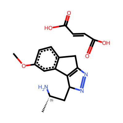 COc1ccc2c(c1)C1=C(C2)N=NC1C[C@H](C)N.O=C(O)C=CC(=O)O